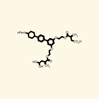 C=C(CC(=O)O)C(=O)OCCOc1cc(OCCOC(=O)C(=C)CC(O)O)cc(-c2ccc(C3CCC(CCCCC)CC3)cc2)c1